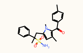 Cc1ccc(C(=O)c2c(C)cc(CC(C)(c3ccccc3)S(N)(=O)=O)n2C)cc1